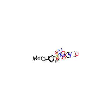 CCCCOC(=O)N1C2COCC1CC(=NNS(=O)(=O)c1ccc(OC)cc1)C2